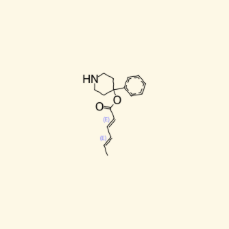 C/C=C/C=C/C(=O)OC1(c2ccccc2)CCNCC1